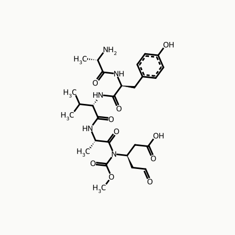 COC(=O)N(C(=O)[C@H](C)NC(=O)[C@@H](NC(=O)[C@H](Cc1ccc(O)cc1)NC(=O)[C@H](C)N)C(C)C)[C@H](CC=O)CC(=O)O